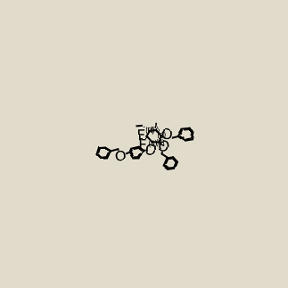 CC[C@@H]1[C@@H](C)[C@H](OCc2ccccc2)[C@@H](OCc2ccccc2)[C@H](Oc2ccc(OCc3ccccc3)cc2)C1(F)F